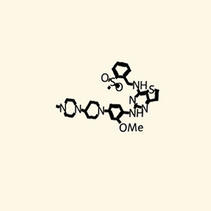 COc1cc(N2CCC(N3CCN(C)CC3)CC2)ccc1Nc1nc(NCc2ccccc2S(C)(=O)=O)c2sccc2n1